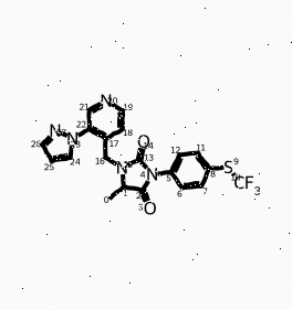 CC1C(=O)N(c2ccc(SC(F)(F)F)cc2)C(=O)N1Cc1ccncc1-n1cccn1